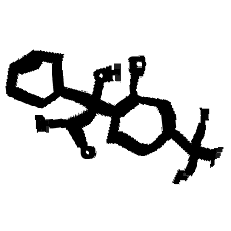 O=C(Br)C(O)(c1ccccc1)c1ccc(C(F)(F)F)cc1Cl